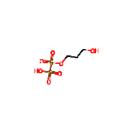 O=S(=O)(O)S(=O)(=O)OCCCO